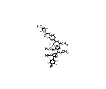 C=C(/C=C(/C)n1cc(N(CC)c2nc(-c3ccc(F)cc3)c(C#N)s2)c(CC)n1)N1CCN(CC(=O)N2CC(O)C2)CC1